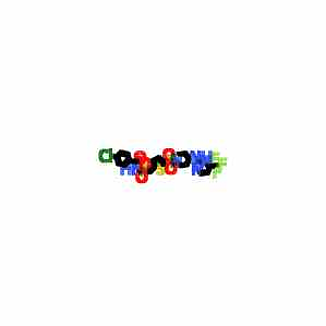 O=C(NS(=O)(=O)Cc1ccc(S(=O)(=O)N2CCC(Nc3nccc(C(F)(F)F)n3)CC2)s1)c1ccc(Cl)cc1